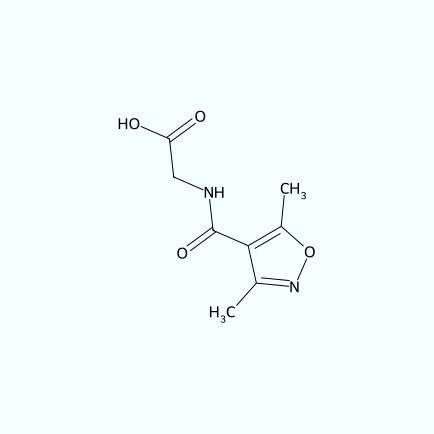 Cc1noc(C)c1C(=O)NCC(=O)O